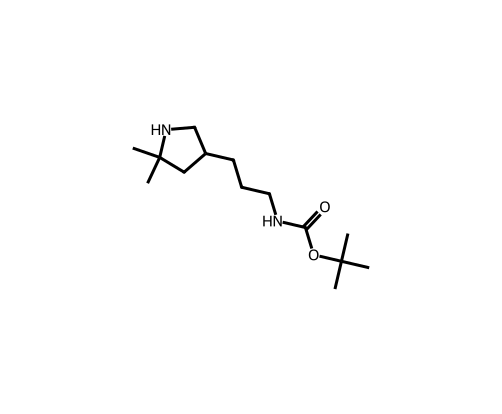 CC1(C)CC(CCCNC(=O)OC(C)(C)C)CN1